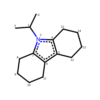 CC(C)n1c2c(c3c1CCCC3)CCCC2